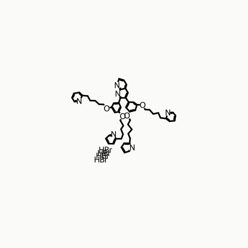 Br.Br.Br.Br.c1ccc(CCCCCOc2cc(OCCCCCc3ccccn3)cc(-c3cc4cccnc4nc3-c3cc(OCCCCCc4ccccn4)cc(OCCCCCc4ccccn4)c3)c2)nc1